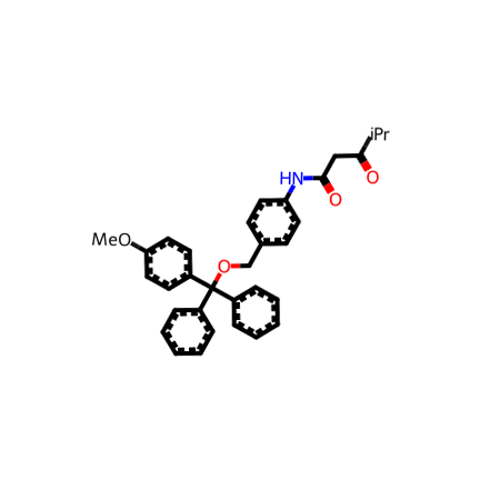 COc1ccc(C(OCc2ccc(NC(=O)CC(=O)C(C)C)cc2)(c2ccccc2)c2ccccc2)cc1